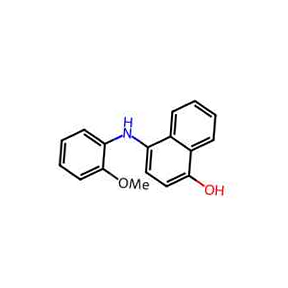 COc1ccccc1Nc1ccc(O)c2ccccc12